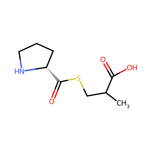 CC(CSC(=O)[C@H]1CCCN1)C(=O)O